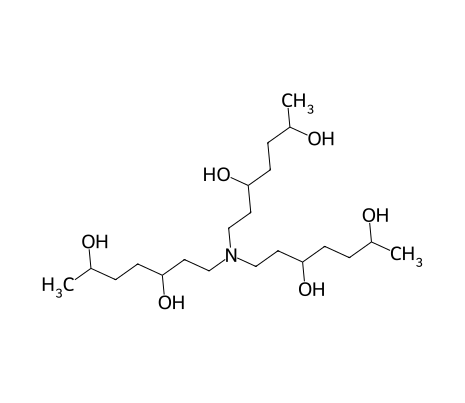 CC(O)CCC(O)CCN(CCC(O)CCC(C)O)CCC(O)CCC(C)O